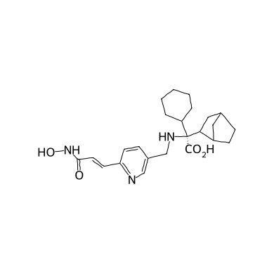 O=C(C=Cc1ccc(CN[C@@](C(=O)O)(C2CCCCC2)C2CC3CCC2C3)cn1)NO